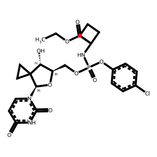 CCOC(=O)C1(NP(=O)(OC[C@H]2O[C@@H](n3ccc(=O)[nH]c3=O)C3(CC3)[C@@H]2O)Oc2ccc(Cl)cc2)CCC1